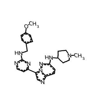 COc1ccc(CNc2nccc(-c3cnc4ccc(NC5CCN(C)CC5)nn34)n2)cc1